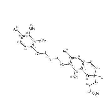 CCCc1c(OCCCOc2c(C(C)=O)cc3c(c2CCC)OC(C)(CCC(=O)O)C=C3)ccc(C(C)=O)c1O